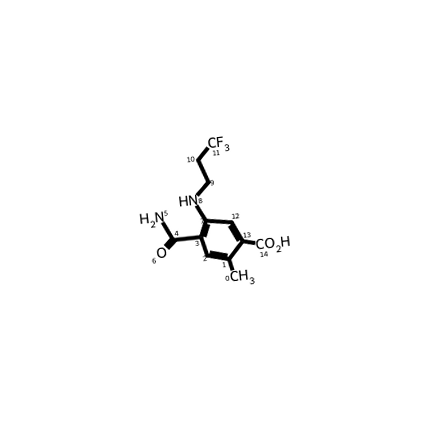 Cc1cc(C(N)=O)c(NCCC(F)(F)F)cc1C(=O)O